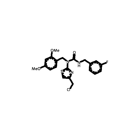 COc1ccc(CN(C(=O)NCc2cccc(F)c2)c2nc(CCl)cs2)c(OC)c1